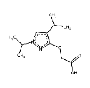 CC(C)c1cn(C(C)C)nc1OCC(=O)O